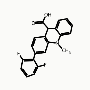 CN1c2ccccc2C(C(=O)O)c2ccc(-c3c(F)cccc3F)cc21